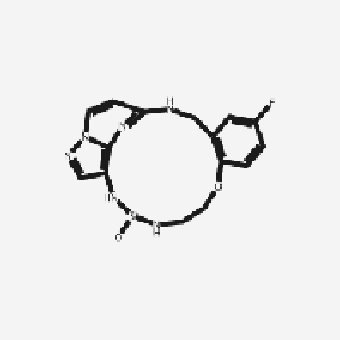 [O-][S+]1NCCOc2ccc(F)cc2CNc2ccn3ncc(c3n2)N1